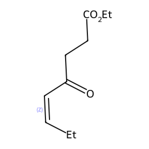 CC/C=C\C(=O)CCC(=O)OCC